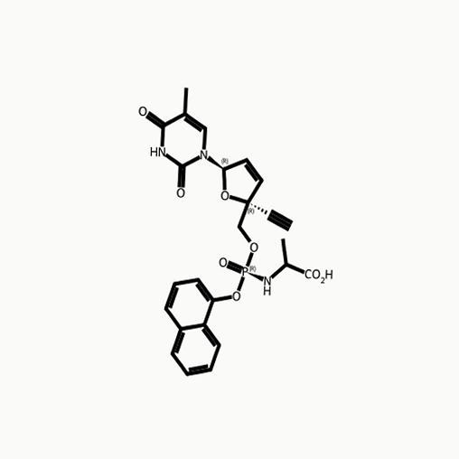 C#C[C@@]1(CO[P@](=O)(NC(C)C(=O)O)Oc2cccc3ccccc23)C=C[C@H](n2cc(C)c(=O)[nH]c2=O)O1